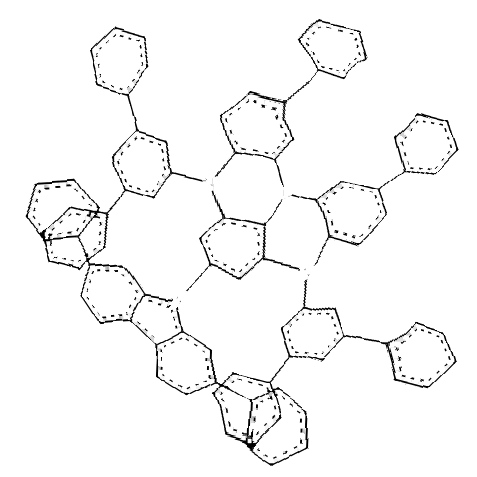 c1ccc(-c2cc(-c3ccccc3)cc(N3c4ccc(-c5ccccc5)cc4B4c5cc(-c6ccccc6)ccc5N(c5cc(-c6ccccc6)cc(-c6ccccc6)c5)c5cc(-n6c7cc(-c8ccccc8)ccc7c7ccc(-c8ccccc8)cc76)cc3c54)c2)cc1